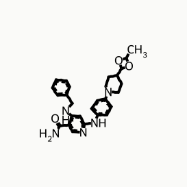 CC1OC(C2CCN(c3ccc(Nc4cc(NCc5ccccc5)c(C(N)=O)cn4)cc3)CC2)O1